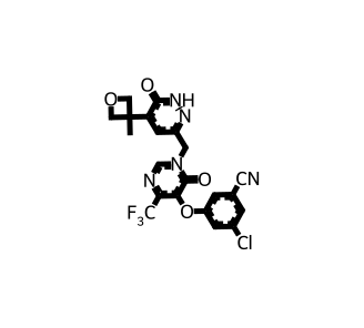 CC1(c2cc(Cn3cnc(C(F)(F)F)c(Oc4cc(Cl)cc(C#N)c4)c3=O)n[nH]c2=O)COC1